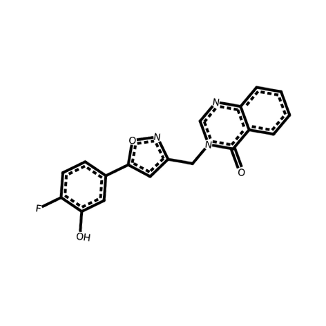 O=c1c2ccccc2ncn1Cc1cc(-c2ccc(F)c(O)c2)on1